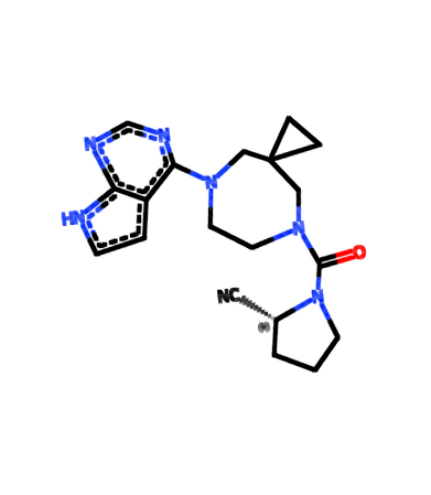 N#C[C@H]1CCCN1C(=O)N1CCN(c2ncnc3[nH]ccc23)CC2(CC2)C1